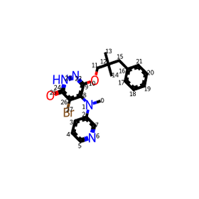 CN(c1cccnc1)c1c(OCC(C)(C)Cc2ccccc2)n[nH]c(=O)c1Br